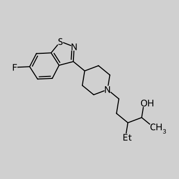 CCC(CCN1CCC(c2nsc3cc(F)ccc23)CC1)C(C)O